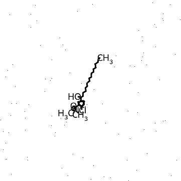 CCCCCCCCCCCCCCCCCC(O)c1ccc(Cl)c(C2=NC(C)(C)CO2)c1